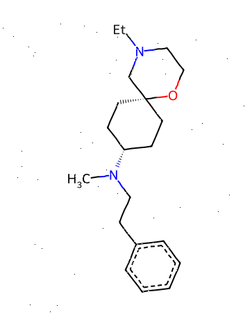 CCN1CCO[C@]2(CC[C@@H](N(C)CCc3ccccc3)CC2)C1